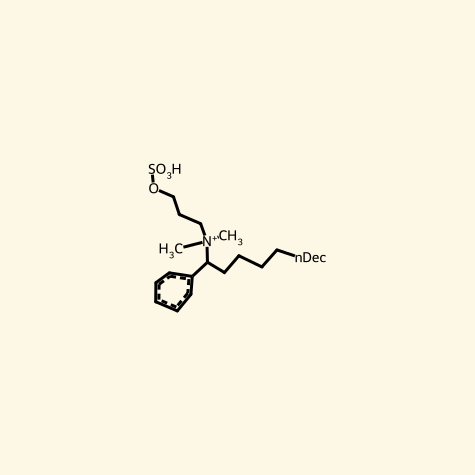 CCCCCCCCCCCCCCC(c1ccccc1)[N+](C)(C)CCCOS(=O)(=O)O